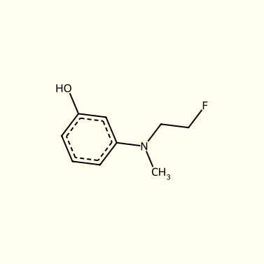 CN(CCF)c1cccc(O)c1